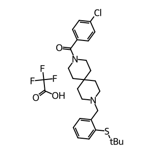 CC(C)(C)Sc1ccccc1CN1CCC2(CC1)CCN(C(=O)c1ccc(Cl)cc1)CC2.O=C(O)C(F)(F)F